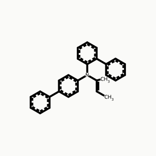 C/C=C(\C)N(c1ccc(-c2ccccc2)cc1)c1ccccc1-c1ccccc1